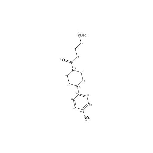 CCCCCCCCCCCCCC(=O)N1CCN(c2ccc([N+](=O)[O-])nc2)CC1